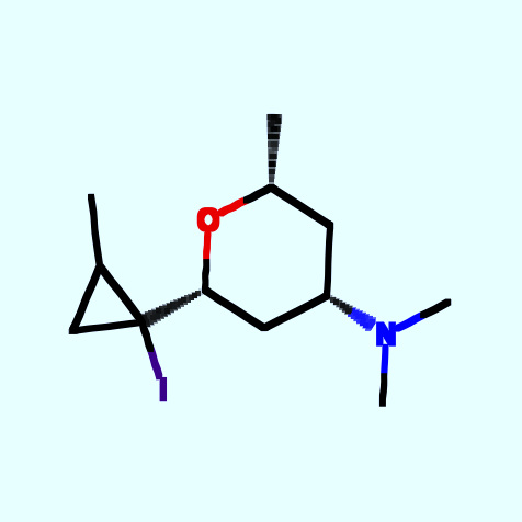 CC1CC1(I)[C@H]1C[C@@H](N(C)C)C[C@@H](C)O1